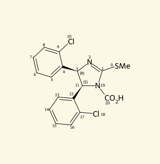 CSC1=N[C@H](c2ccccc2Cl)[C@H](c2ccccc2Cl)N1C(=O)O